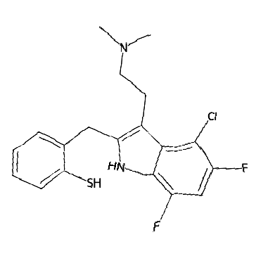 CN(C)CCc1c(Cc2ccccc2S)[nH]c2c(F)cc(F)c(Cl)c12